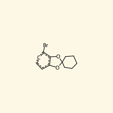 Brc1cccc2c1OC1(CCCCC1)O2